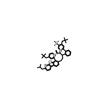 C=C1C2C(CCc3ccc4c(oc5nc(CC(C)C)ccc54)c3-c3cc(CC(C)(C)C)cc[n+]31)c1ccccc1-c1cc(CC(C)(C)C)c([Si](C)(C)C)c[n+]12